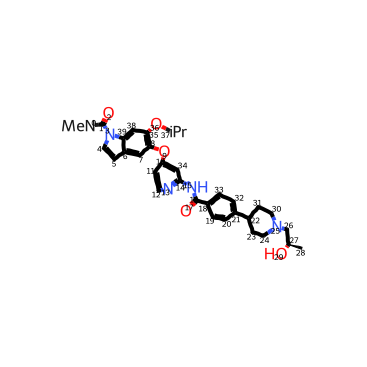 CNC(=O)n1ccc2cc(Oc3ccnc(NC(=O)c4ccc(C5CCN(C[C@@H](C)O)CC5)cc4)c3)c(OC(C)C)cc21